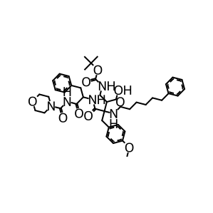 COc1ccc(CC(NC(=O)CCCCCc2ccccc2)(C(=O)NC(Cc2ccccc2)C(=O)NC(=O)N2CCOCC2)C(CO)CNC(=O)OC(C)(C)C)cc1